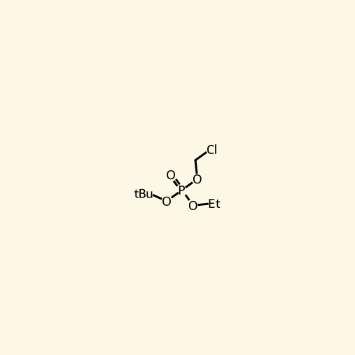 CCOP(=O)(OCCl)OC(C)(C)C